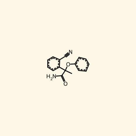 CC(Oc1ccccc1)(C(N)=O)c1ccccc1C#N